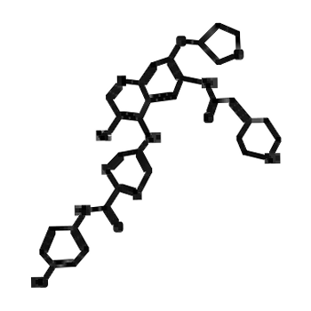 N#Cc1cnc2cc(OC3CCOC3)c(NC(=O)C=C3CCNCC3)cc2c1Nc1cnc(C(=O)Nc2ccc(O)cc2)nc1